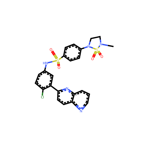 CN1CCN(c2ccc(S(=O)(=O)Nc3ccc(Cl)c(-c4ccc5ncccc5n4)c3)cc2)S1(=O)=O